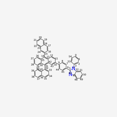 c1ccc(-n2c(-c3ccc(-c4ccc5c(-c6ccc7ccccc7c6)c6ccccc6c(-c6cccc7ccccc67)c5c4)cc3)nc3ccccc32)cc1